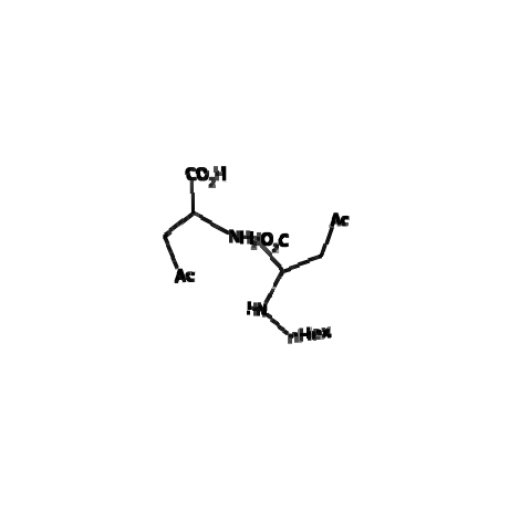 CC(=O)CC(N)C(=O)O.CCCCCCNC(CC(C)=O)C(=O)O